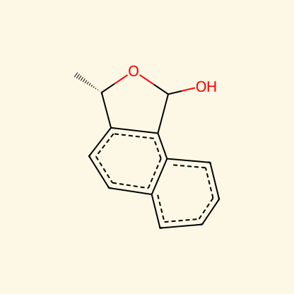 C[C@@H]1OC(O)c2c1ccc1ccccc21